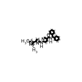 Cc1nc(C)c(-c2csc(Nc3ccc(C(=O)NC(c4ccccc4)c4ccccc4)cn3)n2)s1